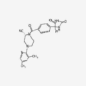 Cc1cnc(N2CCN(C(=O)c3ccc(C4(C(C)C)NC(=O)NC4=O)cc3)C(C#N)C2)c(C)c1